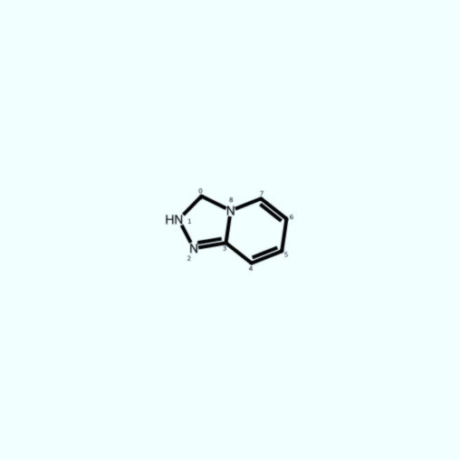 [CH]1NN=C2C=CC=CN12